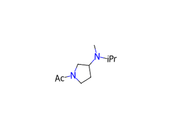 CC(=O)N1CCC(N(C)C(C)C)C1